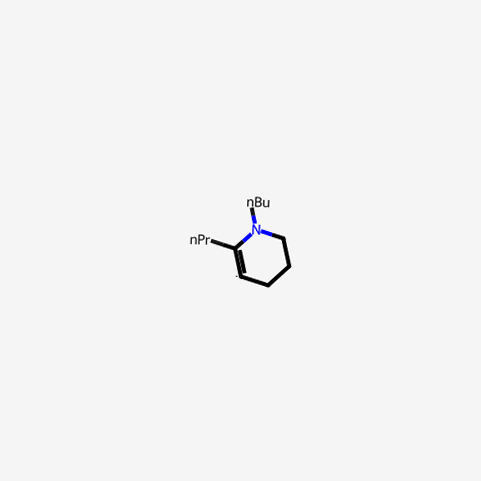 CCCCN1CCC[C]=C1CCC